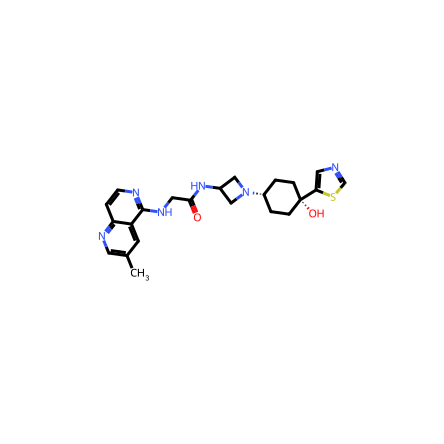 Cc1cnc2ccnc(NCC(=O)NC3CN([C@H]4CC[C@](O)(c5cncs5)CC4)C3)c2c1